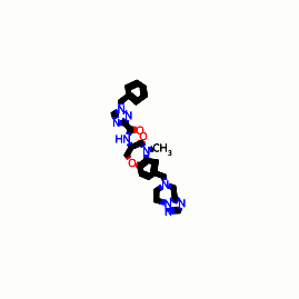 CN1C(=O)C(NC(=O)c2ncn(Cc3ccccc3)n2)COc2ccc(CN3CCn4ncnc4C3)cc21